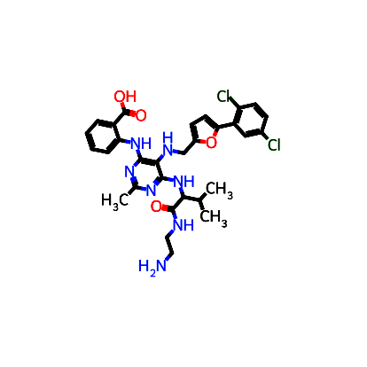 Cc1nc(Nc2ccccc2C(=O)O)c(NCc2ccc(-c3cc(Cl)ccc3Cl)o2)c(NC(C(=O)NCCN)C(C)C)n1